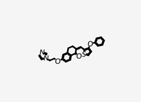 O=C1C(=Cc2sccc2Oc2ccccc2)CCc2cc(OCCn3ccnc3)ccc21